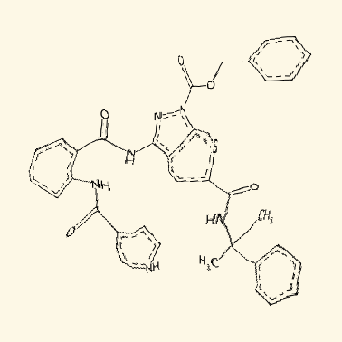 CC(C)(NC(=O)c1cc2c(NC(=O)c3ccccc3NC(=O)c3cc[nH]c3)nn(C(=O)OCc3ccccc3)c2s1)c1ccccc1